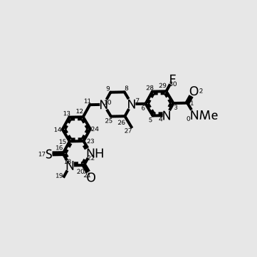 CNC(=O)c1ncc(N2CCN(Cc3ccc4c(=S)n(C)c(=O)[nH]c4c3)CC2C)cc1F